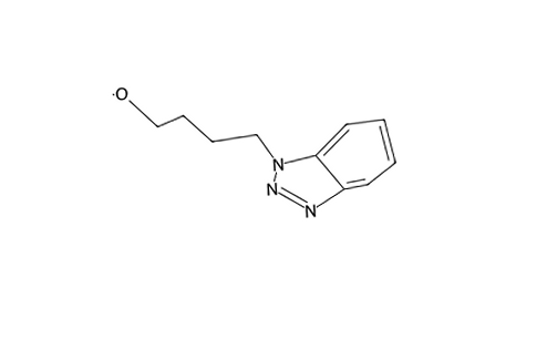 [O]CCCCn1nnc2ccccc21